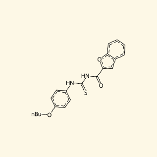 CCCCOc1ccc(NC(=S)NC(=O)c2cc3ccccc3o2)cc1